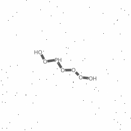 OOOOPOO